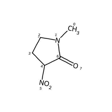 CN1[CH]CC([N+](=O)[O-])C1=O